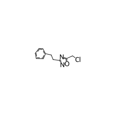 ClCc1nc(CCc2ccccc2)no1